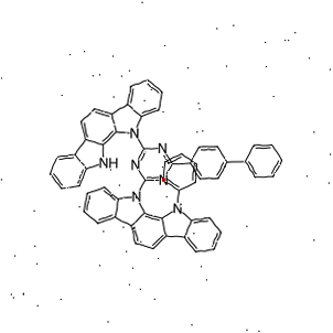 c1ccc(-c2ccc(-c3nc(-n4c5ccccc5c5ccc6c7ccccc7[nH]c6c54)nc(-n4c5ccccc5c5ccc6c7ccccc7n(-c7ccccc7)c6c54)n3)cc2)cc1